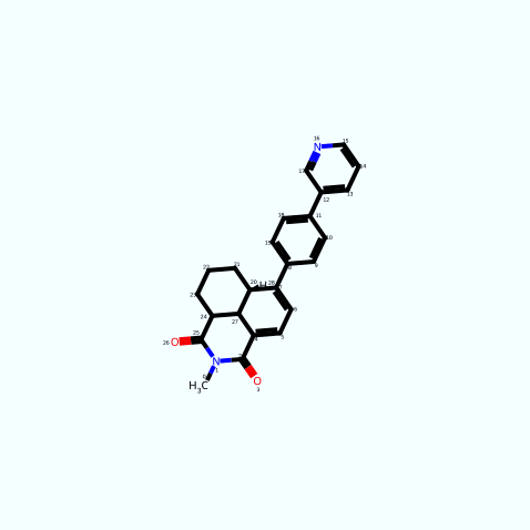 CN1C(=O)C2=CC=C(c3ccc(-c4cccnc4)cc3)[C@H]3CCCC(C1=O)C23